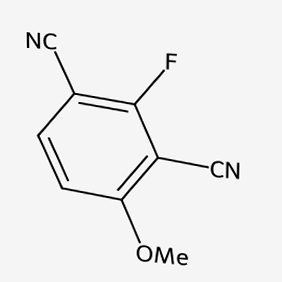 COc1ccc(C#N)c(F)c1C#N